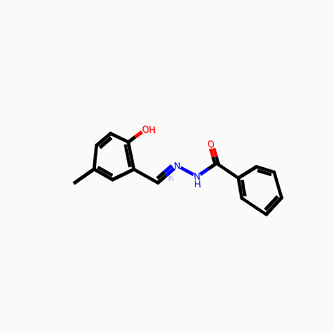 Cc1ccc(O)c(/C=N/NC(=O)c2ccccc2)c1